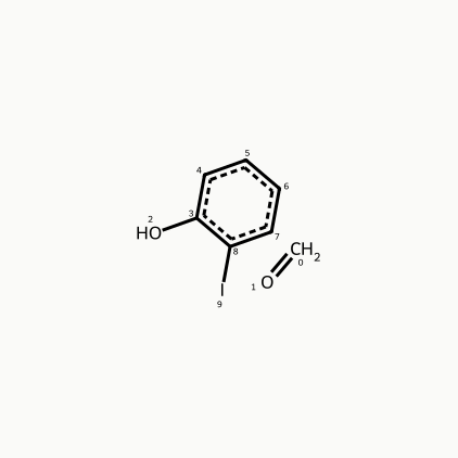 C=O.Oc1ccccc1I